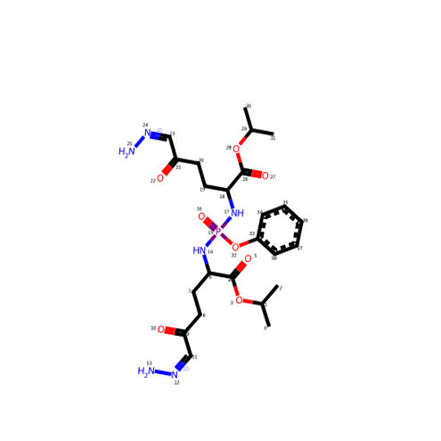 CC(C)OC(=O)C(CCC(=O)/C=N\N)NP(=O)(NC(CCC(=O)/C=N\N)C(=O)OC(C)C)Oc1ccccc1